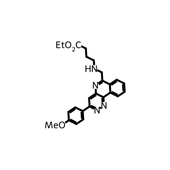 CCOC(=O)CCCNCc1nc2cc(-c3ccc(OC)cc3)nnc2c2ccccc12